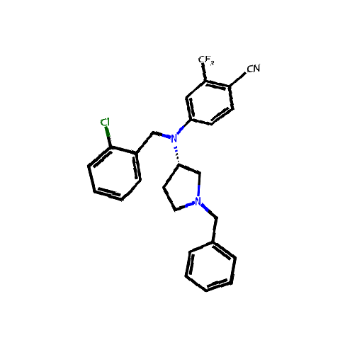 N#Cc1ccc(N(Cc2ccccc2Cl)[C@H]2CCN(Cc3ccccc3)C2)cc1C(F)(F)F